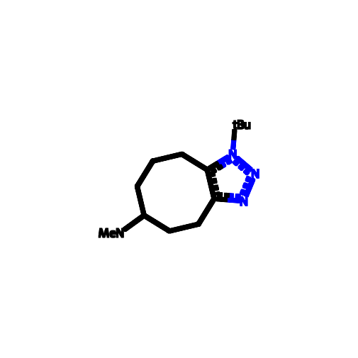 CNC1CCCc2c(nnn2C(C)(C)C)CC1